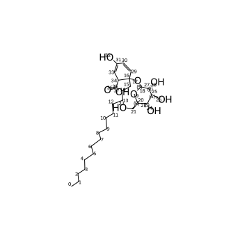 CCCCCCCCCCCCCCCCC1(O[C@@H]2O[C@H](CO)[C@@H](O)[C@H](O)[C@H]2O)C=CC(O)=CC1C(=O)O